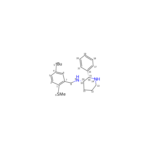 CSc1ccc(C(C)(C)C)cc1CN[C@H]1CCCN[C@H]1c1ccccc1